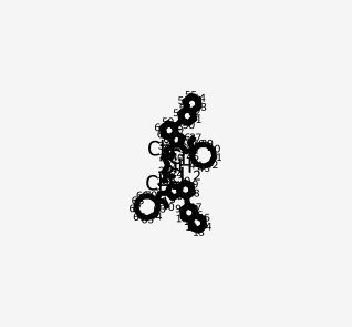 CCC1(CC2=Cc3c(-c4ccc5ccccc5c4)cccc3[CH]2[Zr]([Cl])([Cl])[CH2][SiH2][CH2][Zr]([Cl])([Cl])[CH]2C(CC3(CC)CCCCCCCC3)=Cc3c(-c4ccc5ccccc5c4)cccc32)CCCCCCCC1